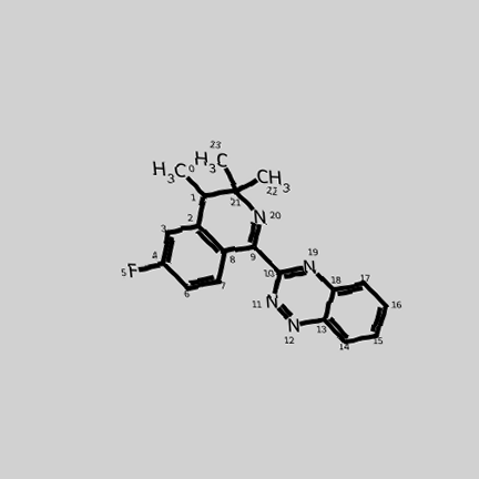 CC1c2cc(F)ccc2C(c2nnc3ccccc3n2)=NC1(C)C